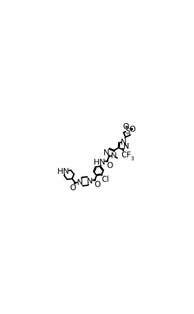 Cn1c(-c2cn(C3CS(=O)(=O)C3)nc2C(F)(F)F)cnc1C(=O)Nc1ccc(C(=O)N2CCN(C(=O)C3CCNCC3)CC2)c(Cl)c1